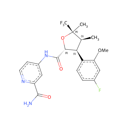 COc1cc(F)ccc1[C@H]1[C@H](C(=O)Nc2ccnc(C(N)=O)c2)O[C@@](C)(C(F)(F)F)[C@H]1C